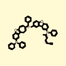 C#C/C=C\C=C(/C)N(C1=CC2c3cc(C[C@H](C4=CCc5c(oc6ccc(N(c7ccccc7)C7C=CC=CC7)cc56)C=C4)c4ccccc4)ccc3OC2C=C1)c1ccccc1